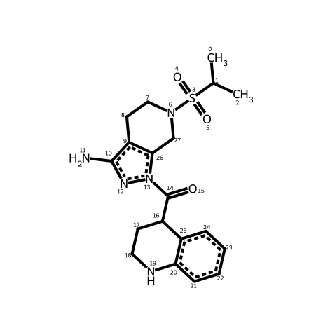 CC(C)S(=O)(=O)N1CCc2c(N)nn(C(=O)C3CCNc4ccccc43)c2C1